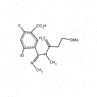 C=C(CCOC)N(C)/C(=N\C)c1cc(C(=O)O)c(F)cc1CC